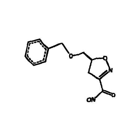 O=NC(=O)C1=NOC(COCc2ccccc2)C1